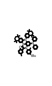 Cc1ccc2oc3c(c2c1)N(c1ccc(C(C)(C)C)cc1C)c1cc(N(c2ccccc2)c2ccccc2)cc2c1B3c1cc3c(cc1N2c1ccc2c(c1)C(C)(C)CCC2(C)C)C(C)(C)CCC3(C)C